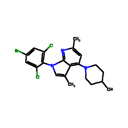 [CH]C1CCN(c2cc(C)nc3c2c(C)cn3-c2c(Cl)cc(Br)cc2Cl)CC1